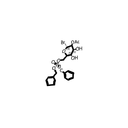 CC(=O)OC1[C@@H](O)[C@H](O)C(COP(=O)(OCc2ccccc2)OCc2ccccc2)O[C@@H]1Br